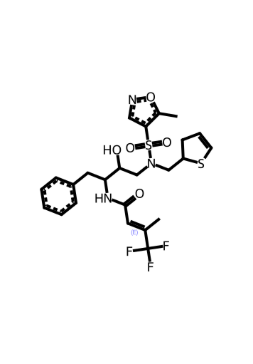 C/C(=C\C(=O)NC(Cc1ccccc1)C(O)CN(CC1CC=CS1)S(=O)(=O)c1cnoc1C)C(F)(F)F